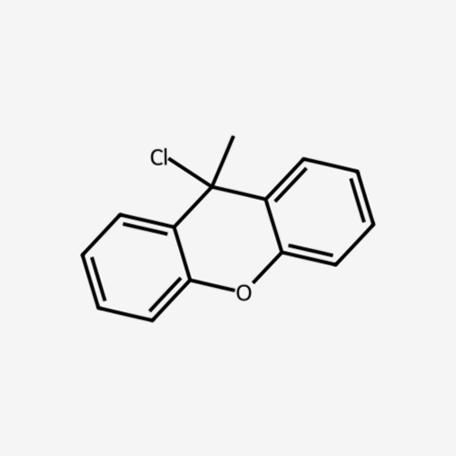 CC1(Cl)c2ccccc2Oc2ccccc21